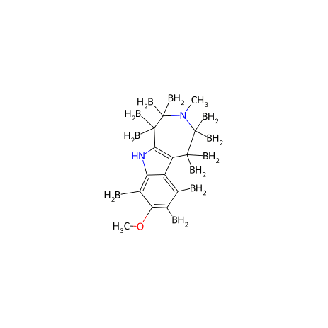 Bc1c(OC)c(B)c2[nH]c3c(c2c1B)C(B)(B)C(B)(B)N(C)C(B)(B)C3(B)B